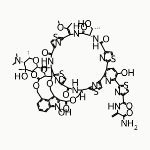 C=C(NC(=O)c1csc(-c2nc3c(cc2O)-c2nc(cs2)C(=O)N[C@@H]([C@@H](C)O)C(=O)N/C(=C(\C)OC)c2nc(cs2)C(=O)N[C@@H]2c4nc(cs4)C(=O)N[C@@H](COC(=O)c4c5c6c(cccc6n4O)COC(=O)[C@@H](O[C@H]4C[C@](C)(O)[C@H](N(C)C)[C@H](C)O4)C2OC5)c2nc-3cs2)n1)C(N)=O